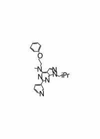 CC(C)Cn1ncc2c(N(C)CCOc3ccccc3)nc(-c3cccnc3)nc21